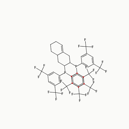 FC(F)(F)c1cc(P(c2cc(C(F)(F)F)cc(C(F)(F)F)c2)C2CC3=CCCCC3CC2P(c2cc(C(F)(F)F)cc(C(F)(F)F)c2)c2cc(C(F)(F)F)cc(C(F)(F)F)c2)cc(C(F)(F)F)c1